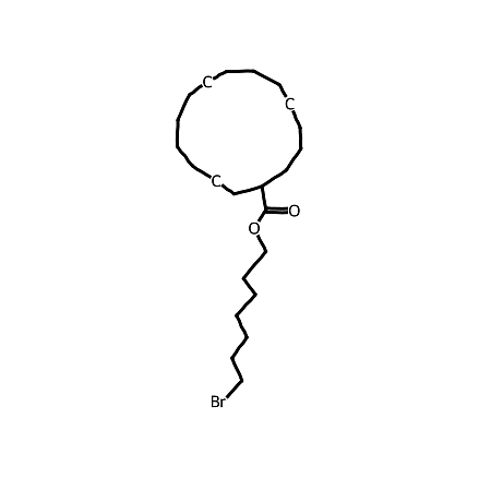 O=C(OCCCCCCCBr)C1CCCCCCCCCCCCCC1